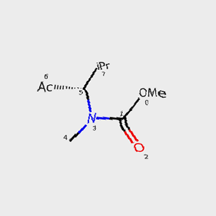 COC(=O)N(C)[C@H](C(C)=O)C(C)C